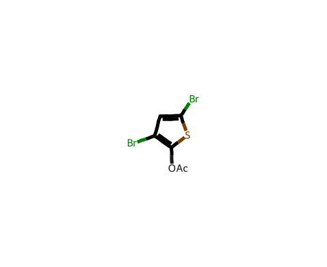 CC(=O)Oc1sc(Br)cc1Br